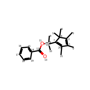 CC1=C(C)C(C)(C)[C]([Ti]([CH3])([CH3])[O]C(=O)c2ccccc2)=C1C